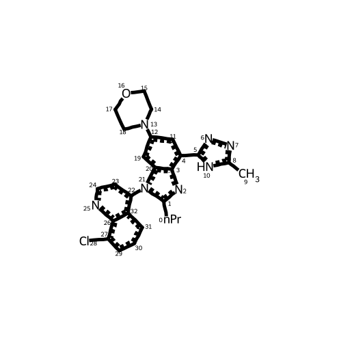 CCCc1nc2c(-c3nnc(C)[nH]3)cc(N3CCOCC3)cc2n1-c1ccnc2c(Cl)cccc12